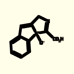 O=C(O)C1=NCC2=Cc3ccccc3[N+]21[O-]